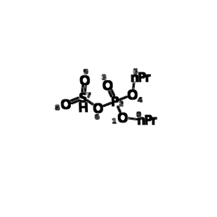 CCCOP(=O)(OCCC)O[SH](=O)=O